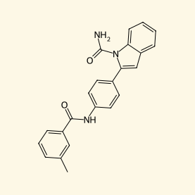 Cc1cccc(C(=O)Nc2ccc(-c3cc4ccccc4n3C(N)=O)cc2)c1